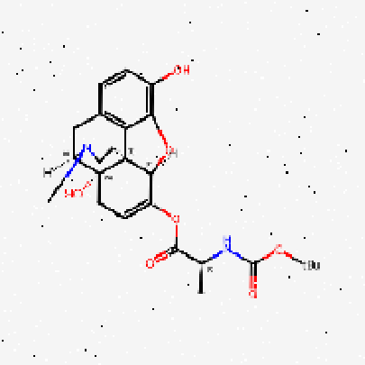 C[C@H](NC(=O)OC(C)(C)C)C(=O)OC1=CC[C@@]2(O)[C@H]3Cc4ccc(O)c5c4[C@@]2(CCN3C)[C@H]1O5